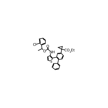 CCOC(=O)C1(c2ccc(-c3ccccc3)c(-c3sccc3NC(=O)OC(C)c3ccccc3Cl)c2)CC1